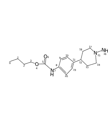 CCCCOC(=O)Nc1ccc(C2CCN(N)CC2)cc1